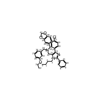 CCCCn1c(-c2ccccc2)nc(-c2ccc(Cl)cc2)c1CN(Cc1cccc(OCC)c1)Cc1ccc2c(c1)OCO2